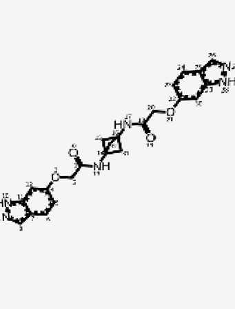 O=C(COc1ccc2cn[nH]c2c1)NC12CC(NC(=O)COc3ccc4cn[nH]c4c3)(C1)C2